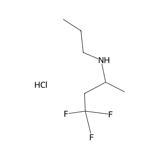 CCCNC(C)CC(F)(F)F.Cl